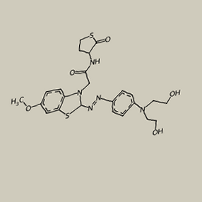 COc1ccc2c(c1)SC(/N=N/c1ccc(N(CCO)CCO)cc1)N2CC(=O)NC1CCSC1=O